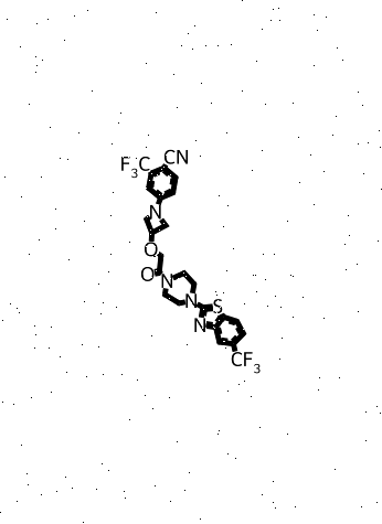 N#Cc1ccc(N2CC(OCC(=O)N3CCN(c4nc5cc(C(F)(F)F)ccc5s4)CC3)C2)cc1C(F)(F)F